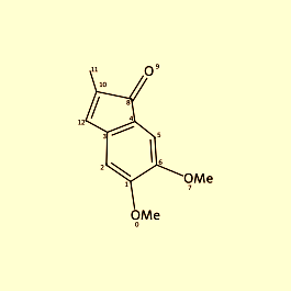 COc1cc2c(cc1OC)C(=O)C(C)=C2